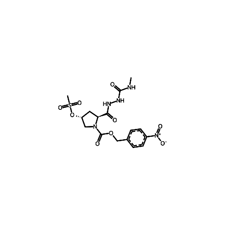 CNC(=O)NNC(=O)[C@@H]1C[C@@H](OS(C)(=O)=O)CN1C(=O)OCc1ccc([N+](=O)[O-])cc1